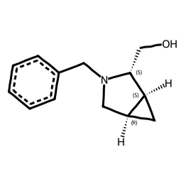 OC[C@@H]1[C@H]2C[C@H]2CN1Cc1ccccc1